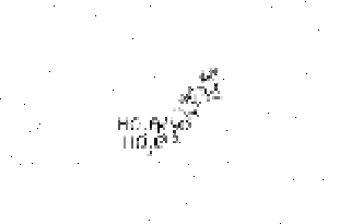 O=C(O)C1CC(OC2=CCN(Cc3ccccc3)CC2)CN1C(=O)O